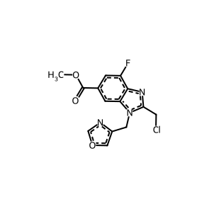 COC(=O)c1cc(F)c2nc(CCl)n(Cc3cocn3)c2c1